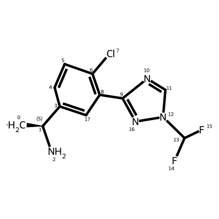 [CH2][C@H](N)c1ccc(Cl)c(-c2ncn(C(F)F)n2)c1